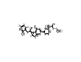 CC(CCO)Nc1nccc(-c2cc(F)c3c(c2)CCN3C(=O)Cc2cccnc2Cl)n1